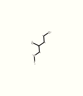 FOCC(Cl)CCCl